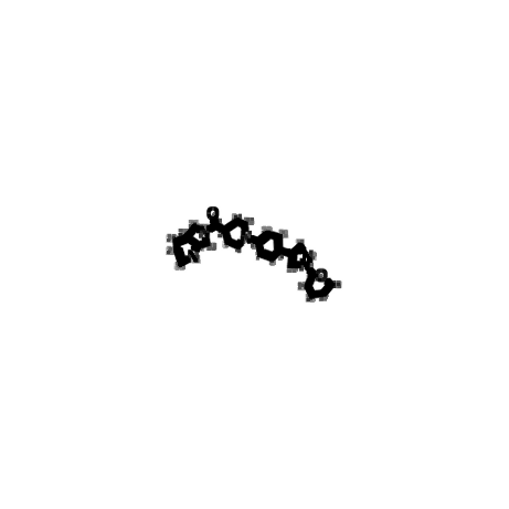 O=C(C1CCN(c2ccc(-c3cnn(C4CCCCO4)c3)cc2)CC1)N1Cc2cccnc2C1